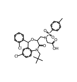 Cc1ccc(S(=O)(=O)N(CC(=O)O)CC2OC(c3ccccc3Cl)c3cc(Cl)ccc3N(CC(C)(C)C)C2=O)cc1